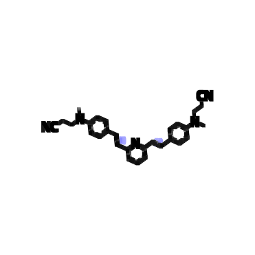 CN(CCC#N)c1ccc(/C=C/c2cccc(/C=C/c3ccc(N(C)CCC#N)cc3)n2)cc1